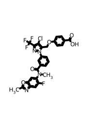 Cc1nc2cc(F)c(N(C)C(=O)c3cccc(-n4nc(C(F)(F)F)c(Cl)c4COc4ccc(C(=O)O)cc4)c3)cc2o1